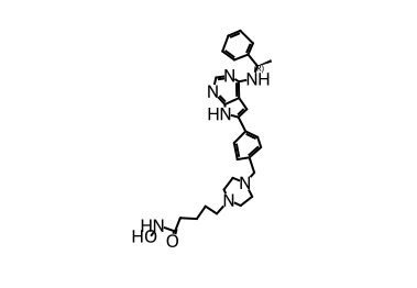 C[C@@H](Nc1ncnc2[nH]c(-c3ccc(CN4CCN(CCCCC(=O)NO)CC4)cc3)cc12)c1ccccc1